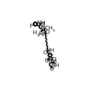 Cc1[nH]c(C=C2C(=O)Nc3ccc(F)cc32)c(C)c1C(=O)NCCCCCCCCNC(=O)c1ccc2c(c1)C(=O)N(C1CCC(=O)NC1=O)C2=O